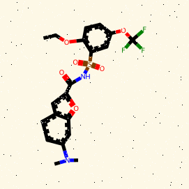 CCOc1ccc(OC(F)(F)F)cc1S(=O)(=O)NC(=O)c1cc2ccc(N(C)C)cc2o1